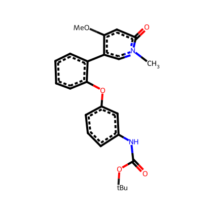 COc1cc(=O)n(C)cc1-c1ccccc1Oc1cccc(NC(=O)OC(C)(C)C)c1